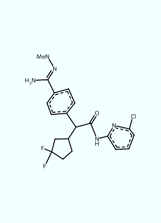 CN/N=C(\N)c1ccc(C(C(=O)Nc2cccc(Cl)n2)C2CCC(F)(F)C2)cc1